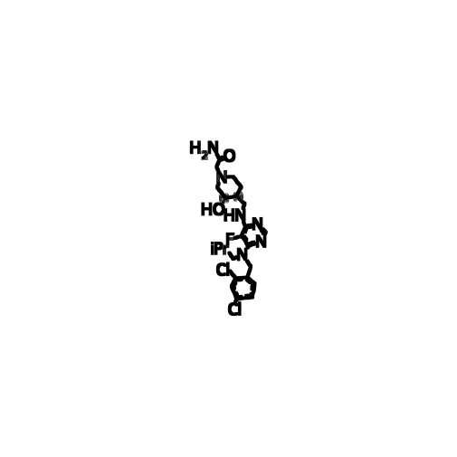 CC(C)CN(Cc1ccc(Cl)cc1Cl)c1ncnc(NC[C@@H]2CCN(CC(N)=O)C[C@H]2O)c1F